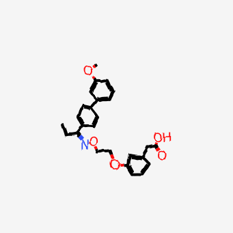 CCC(=NOCCOc1cccc(CC(=O)O)c1)c1ccc(-c2cccc(OC)c2)cc1